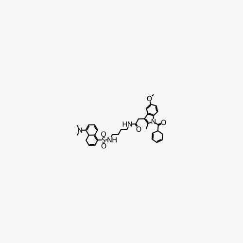 COc1ccc2c(c1)c(CC(=O)NCCCCNS(=O)(=O)C1=C3C=CC=C(N(C)C)C3CC=C1)c(C)n2C(=O)C1C=CC=CC1